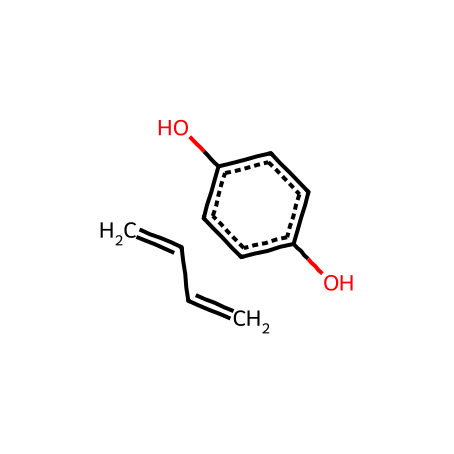 C=CC=C.Oc1ccc(O)cc1